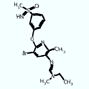 CCN(C)C=Nc1cc(Br)c(Oc2cccc(S(C)(=N)=O)c2)nc1C